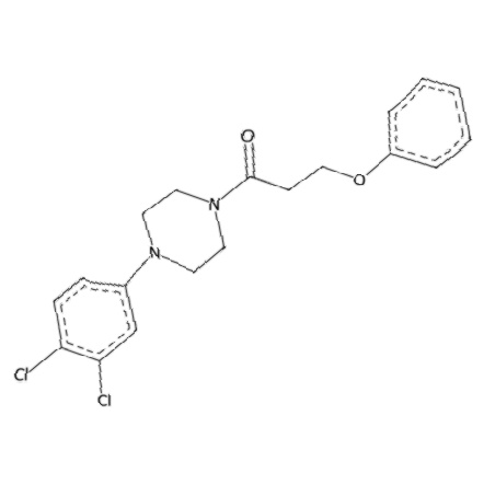 O=C(CCOc1ccccc1)N1CCN(c2ccc(Cl)c(Cl)c2)CC1